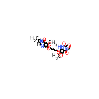 C=C1C[C@H]2C=Nc3cc(OCCCCCOc4cc5c(cc4OC)C(=O)N4CCOCC4C(=O)N5)c(OC)cc3C(=O)N2C1